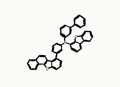 c1ccc(-c2cccc(N(c3cccc(-c4cccc5oc6c7ccccc7ccc6c45)c3)c3cccc4c3oc3ccccc34)c2)cc1